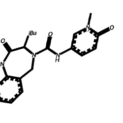 CCC(C)C1C(=O)Nc2ccccc2CN1C(=O)Nc1ccc(=O)n(C)c1